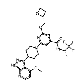 COc1ccnc2[nH]nc(C3CCN(c4cc(C(=O)N[C@@H](C)C(F)(F)F)nc(OC[C@H]5CCO5)n4)CC3)c12